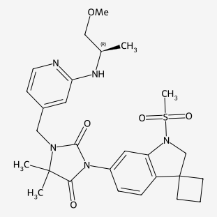 COC[C@@H](C)Nc1cc(CN2C(=O)N(c3ccc4c(c3)N(S(C)(=O)=O)CC43CCC3)C(=O)C2(C)C)ccn1